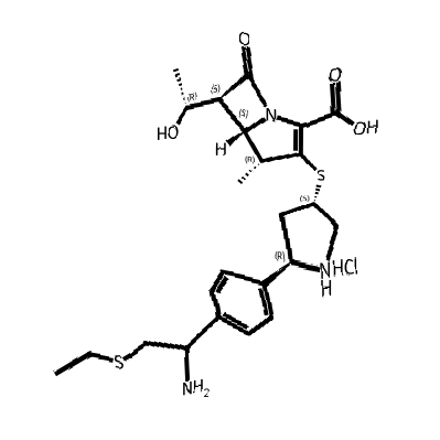 CCSCC(N)c1ccc([C@H]2C[C@H](SC3=C(C(=O)O)N4C(=O)[C@H]([C@@H](C)O)[C@H]4[C@H]3C)CN2)cc1.Cl